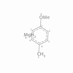 COc1ccc(C)cc1.[MgH2]